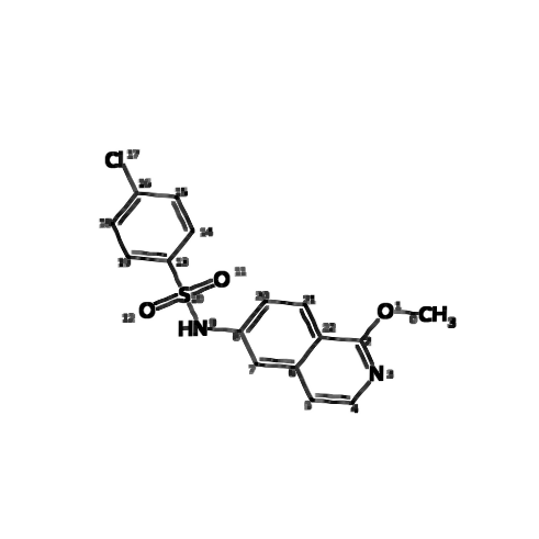 COc1nccc2cc(NS(=O)(=O)c3ccc(Cl)cc3)ccc12